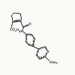 COc1ccc(-c2ccc(NC(=O)C3=C(C(=O)O)CCC3)cc2)cn1